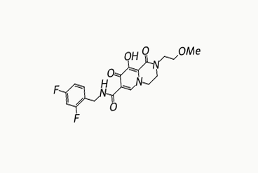 COCCN1CCn2cc(C(=O)NCc3ccc(F)cc3F)c(=O)c(O)c2C1=O